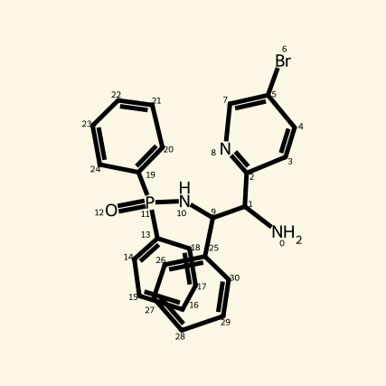 NC(c1ccc(Br)cn1)C(NP(=O)(c1ccccc1)c1ccccc1)c1ccccc1